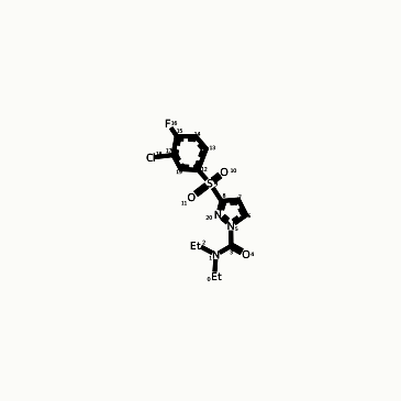 CCN(CC)C(=O)n1ccc(S(=O)(=O)c2ccc(F)c(Cl)c2)n1